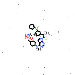 CNS(=O)(=O)CC1CCC(N(C)c2ncnc3c2ccn3C(=O)C(C)c2cccc(Oc3ccccc3)c2)CC1